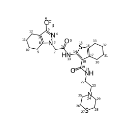 O=C(Cn1nc(C(F)(F)F)c2c1CCCC2)Nc1sc2c(c1C(=O)NCCN1CCSCC1)CCCC2